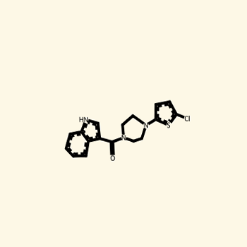 O=C(c1c[nH]c2ccccc12)N1CCN(c2ccc(Cl)s2)CC1